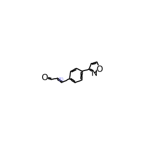 O=C/C=C/c1ccc(-c2ccon2)cc1